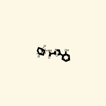 O=C(N[C@@H]1C[C@H]2CC[C@@H]1N2)c1ncc(-c2ccccc2O)o1